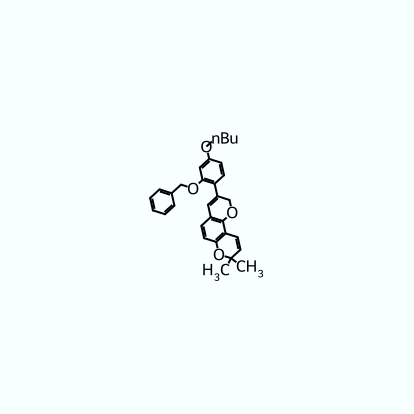 CCCCOc1ccc(C2=Cc3ccc4c(c3OC2)C=CC(C)(C)O4)c(OCc2ccccc2)c1